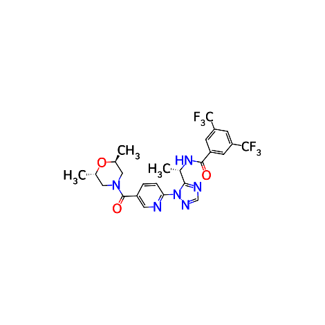 C[C@H](NC(=O)c1cc(C(F)(F)F)cc(C(F)(F)F)c1)c1ncnn1-c1ccc(C(=O)N2C[C@H](C)O[C@@H](C)C2)cn1